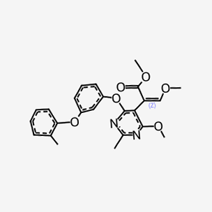 CO/C=C(\C(=O)OC)c1c(OC)nc(C)nc1Oc1cccc(Oc2ccccc2C)c1